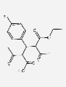 CCOC(=O)C(C(C)=O)C(c1ccc(Br)cc1)C(C(C)=O)C(=O)O